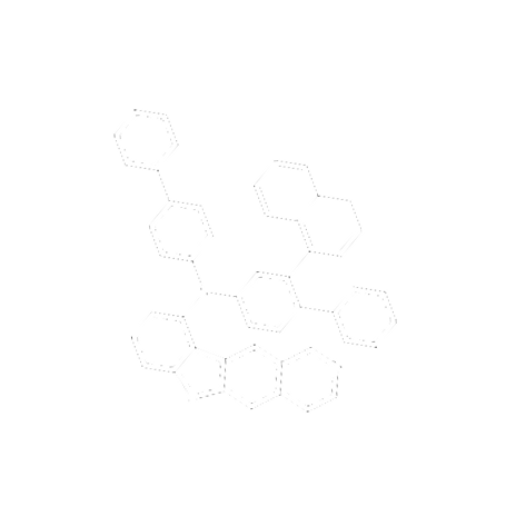 C1=CC2=C(c3cc(N(c4ccc(-c5ccccc5)cc4)c4cccc5oc6cc7ccncc7cc6c45)ccc3-c3ccccc3)C=CCC2C=C1